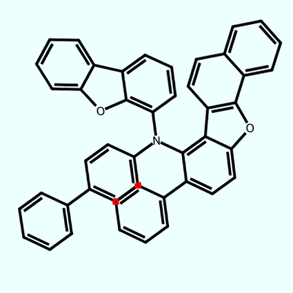 c1ccc(-c2ccc(N(c3cccc4c3oc3ccccc34)c3c(-c4ccccc4)ccc4oc5c6ccccc6ccc5c34)cc2)cc1